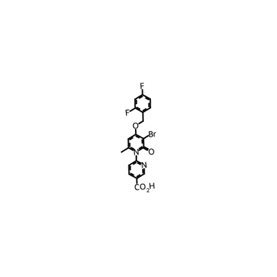 Cc1cc(OCc2ccc(F)cc2F)c(Br)c(=O)n1-c1ccc(C(=O)O)cn1